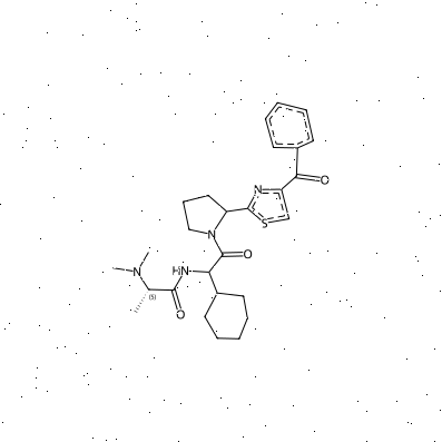 C[C@@H](C(=O)NC(C(=O)N1CCCC1c1nc(C(=O)c2ccccc2)cs1)C1CCCCC1)N(C)C